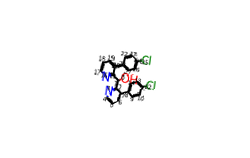 OC(c1ncccc1-c1ccc(Cl)cc1)c1ncccc1-c1ccc(Cl)cc1